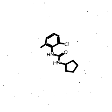 Cc1cccc(Cl)c1NC(=O)NC1CCCC1